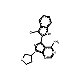 Nc1ncnc2c1c(-c1[nH]c3ccccc3c1Cl)nn2C1CCOC1